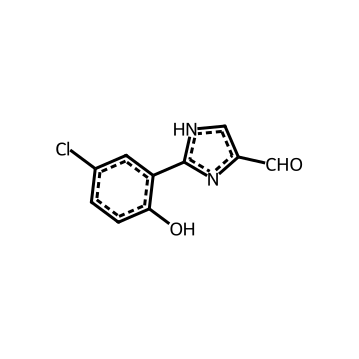 O=Cc1c[nH]c(-c2cc(Cl)ccc2O)n1